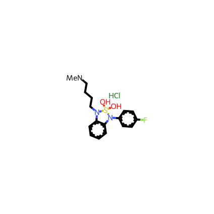 CNCCCCN1c2ccccc2N(c2ccc(F)cc2)S1(O)O.Cl